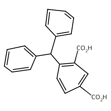 O=C(O)c1ccc(C(c2ccccc2)c2ccccc2)c(C(=O)O)c1